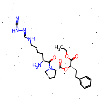 CCOC(=O)[C@H](CCc1ccccc1)OC(=O)[C@@H]1CCCN1C(=O)[C@@H](N)CCCCNC=NNC#N